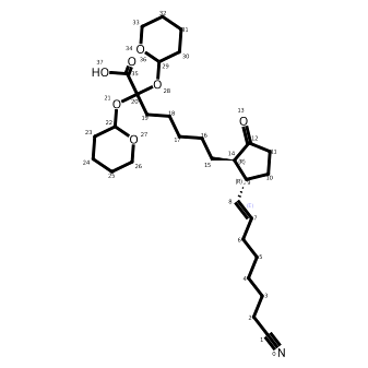 N#CCCCCC/C=C/[C@H]1CCC(=O)[C@@H]1CCCCCC(OC1CCCCO1)(OC1CCCCO1)C(=O)O